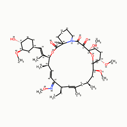 CC[C@@H]1/C=C(\C)C[C@H](C)C[C@H](OC)[C@H]2O[C@@](O)(C(=O)C(=O)N3CCCC[C@H]3C(=O)O[C@H](/C(C)=C/[C@@H]3CC[C@@H](O)[C@H](OC)C3)[C@H](C)/C=C/C1=NOC)[C@H](C)C[C@@H]2OC